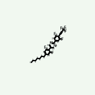 CCCCCCCc1cc(F)c(-c2cnc(-c3cc(F)c(C#CC(F)(F)F)c(F)c3)nc2)c(F)c1